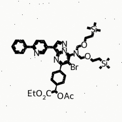 CCOC(=O)C(OC(C)=O)[C@H]1CC[C@@H](c2nc3c(-c4ccc(-c5ccccc5)nc4)cnn3c(N(COCC[Si](C)(C)C)COCC[Si](C)(C)C)c2Br)CC1